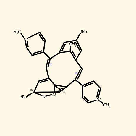 Cc1c2cc(C(C)(C)C)cc1/C(c1cc[n+](C)cc1)=C\C1=C[C@]3(C(C)(C)C)C=C(/C(c4cc[n+](C)cc4)=C\2)C1(C)OO3